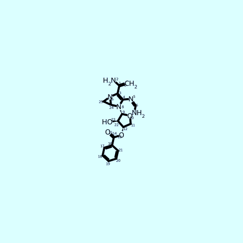 C=C(N)C1=C(/N=C\N)N([C@@H]2OC[C@H](OC(=O)c3ccccc3)[C@H]2O)C2CN12